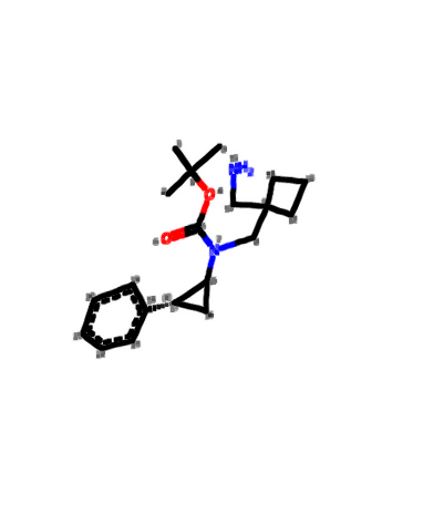 CC(C)(C)OC(=O)N(CC1(CN)CCC1)C1C[C@@H]1c1ccccc1